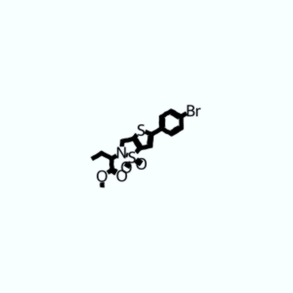 CCC(C(=O)OC)N1Cc2sc(-c3ccc(Br)cc3)cc2S1(=O)=O